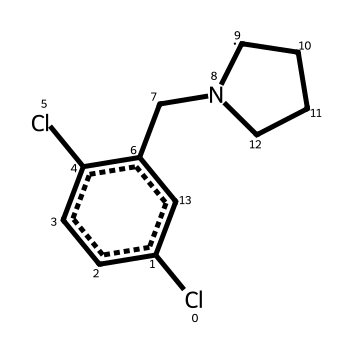 Clc1ccc(Cl)c(CN2[CH]CCC2)c1